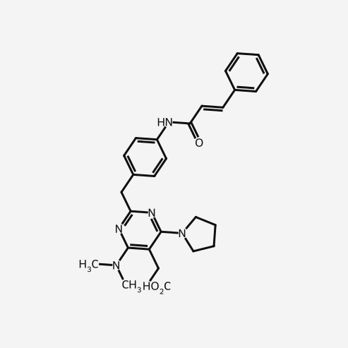 CN(C)c1nc(Cc2ccc(NC(=O)C=Cc3ccccc3)cc2)nc(N2CCCC2)c1CC(=O)O